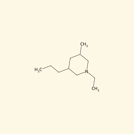 CCCC1CC(C)CN(CC)C1